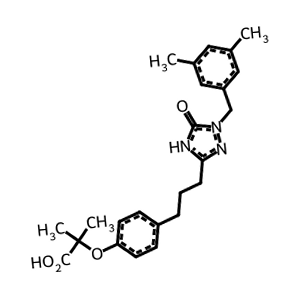 Cc1cc(C)cc(Cn2nc(CCCc3ccc(OC(C)(C)C(=O)O)cc3)[nH]c2=O)c1